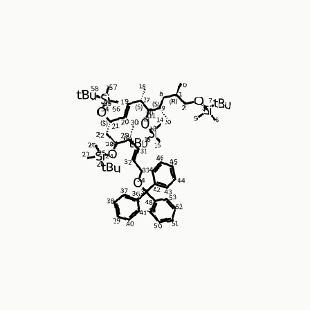 C[C@@H](CO[Si](C)(C)C(C)(C)C)C[C@H](C)[C@@H](O[Si](C)(C)C(C)(C)C)[C@@H](C)C=C[C@H](C[C@H](O[Si](C)(C)C(C)(C)C)[C@H](C)C=CCOC(c1ccccc1)(c1ccccc1)c1ccccc1)O[Si](C)(C)C(C)(C)C